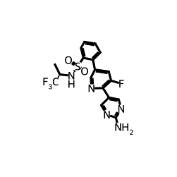 C[C@H](NS(=O)(=O)c1ccccc1-c1cnc(-c2cnc(N)nc2)c(F)c1)C(F)(F)F